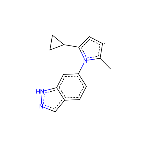 Cc1[c]cc(C2CC2)n1-c1ccc2cn[nH]c2c1